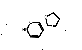 C1=CNOC=C1.C1CCOC1